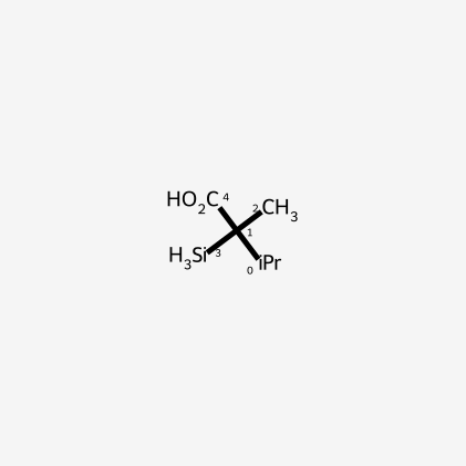 CC(C)C(C)([SiH3])C(=O)O